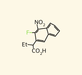 CCC(C(=O)O)c1cc2ccccc2c([N+](=O)[O-])c1F